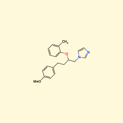 COc1ccc(CCC(Cn2ccnc2)Oc2ccccc2C)cc1